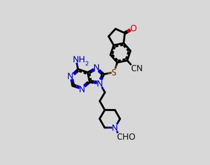 N#Cc1cc2c(cc1Sc1nc3c(N)ncnc3n1CCC1CCN(C=O)CC1)CCC2=O